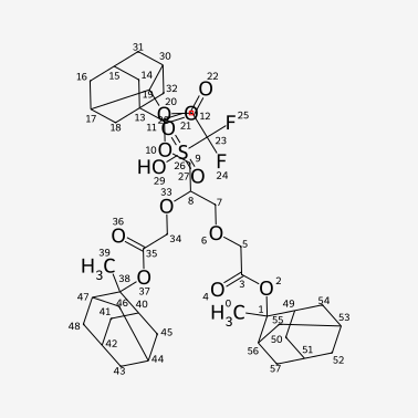 CC1(OC(=O)COCC(COC(=O)C23CC4CC(C2)C(OC(=O)C(F)(F)S(=O)(=O)O)C(C4)C3)OCC(=O)OC2(C)C3CC4CC(C3)CC2C4)C2CC3CC(C2)CC1C3